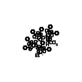 CC[C@H]1O[C@@H](OC[C@H]2O[C@@H](OC[C@H]3O[C@@H](OC[C@H]4OC(OC(=N)C(Cl)(Cl)Cl)[C@H](OC(=O)c5ccccc5)[C@@H](OC(=O)c5ccccc5)[C@@H]4C)[C@H](OC(=O)c4ccccc4)[C@@H](OC(=O)c4ccccc4)[C@@H]3C)[C@H](OC(=O)c3ccccc3)[C@@H](OC(=O)c3ccccc3)[C@@H]2C)[C@H](OC(=O)c2ccccc2)[C@@H](OC(=O)c2ccccc2)[C@@H]1C